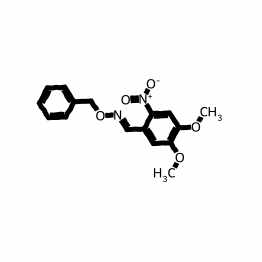 COc1cc(C=NOCc2ccccc2)c([N+](=O)[O-])cc1OC